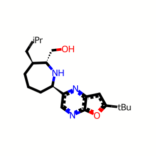 CC(C)C[C@@H]1CCC[C@H](c2cnc3oc(C(C)(C)C)cc3n2)N[C@H]1CO